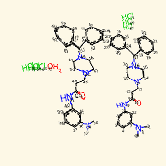 CN(C)c1cccc(NC(=O)CCN2CCN(C(c3ccccc3)c3ccccc3)CC2)c1.CN(C)c1cccc(NC(=O)CCN2CCN(C(c3ccccc3)c3ccccc3)CC2)c1.Cl.Cl.Cl.Cl.Cl.Cl.O